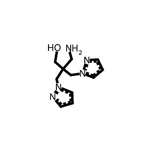 NCC(CO)(Cn1cccn1)Cn1cccn1